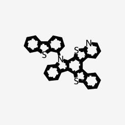 c1ccc2c(c1)sc1c(-n3c4ccccc4c4c5sc6ccccc6c5c5c6cccnc6sc5c43)cccc12